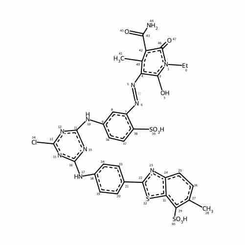 CCn1c(O)c(/N=N/c2cc(Nc3nc(Cl)nc(Nc4ccc(-c5nc6ccc(C)c(S(=O)(=O)O)c6s5)cc4)n3)ccc2S(=O)(=O)O)c(C)c(C(N)=O)c1=O